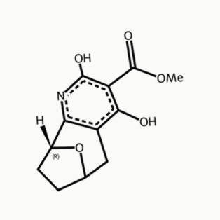 COC(=O)c1c(O)nc2c(c1O)CC1CC[C@H]2O1